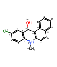 CNc1ccc(Cl)cc1C(O)c1cccc2ccccc12